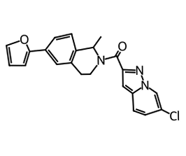 CC1c2ccc(-c3ccco3)cc2CCN1C(=O)c1cc2ccc(Cl)cn2n1